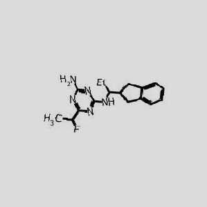 CCC(Nc1nc(N)nc(C(C)F)n1)C1Cc2ccccc2C1